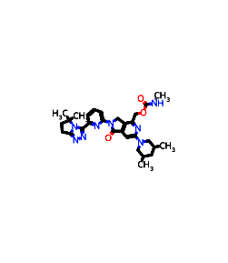 CNC(=O)OCc1nc(N2CC(C)CC(C)C2)cc2c1CN(c1cccc(-c3nnc4n3C(C)(C)CC4)n1)C2=O